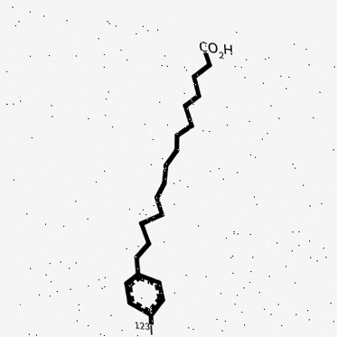 O=C(O)CCCCCCCCCCCCCCc1ccc([123I])cc1